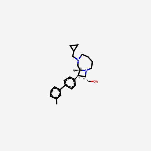 Cc1cccc(-c2ccc([C@@H]3[C@@H](CO)N4CCCCN(CC5CC5)C[C@@H]34)cc2)c1